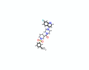 O=C(C1CCCN(S(=O)(=O)c2cccc([N+](=O)[O-])c2)C1)N1CCN(c2ccnc3cc(F)ccc23)CC1